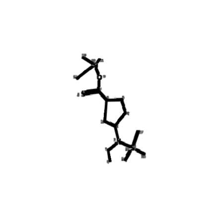 CCN(C1CCC(C(=S)O[Si](C)(C)C)C1)[Si](C)(C)C